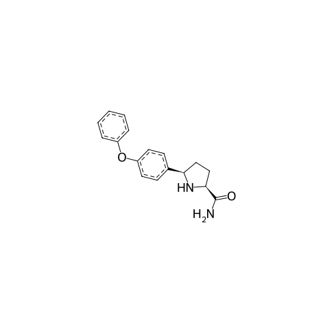 NC(=O)[C@@H]1CC[C@H](c2ccc(Oc3ccccc3)cc2)N1